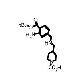 CC(C)(C)OC(=O)c1ccc(CNCC2CCN(C(=O)O)CC2)cc1N